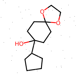 OC1(C2CCCC2)CCC2(CC1)OCCO2